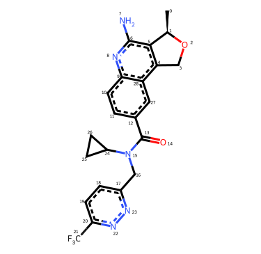 C[C@H]1OCc2c1c(N)nc1ccc(C(=O)N(Cc3ccc(C(F)(F)F)nn3)C3CC3)cc21